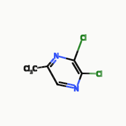 Clc1ncc(C(Cl)(Cl)Cl)nc1Cl